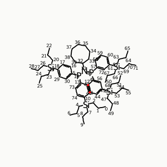 CCC[Si](CCC)(CCC)c1ccc(P(c2ccc([Si](CCC)(CCC)CCC)cc2)N(C2CCCCCCC2)P(c2cccc([Si](CCC)(CCC)CCC)c2)c2cccc([Si](CCC)(CCC)CCC)c2)cc1